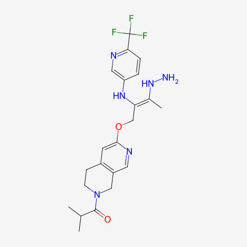 C/C(NN)=C(\COc1cc2c(cn1)CN(C(=O)C(C)C)CC2)Nc1ccc(C(F)(F)F)nc1